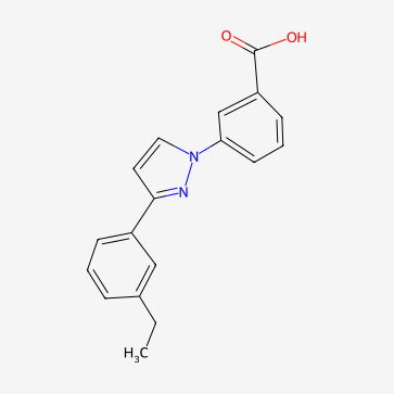 CCc1cccc(-c2ccn(-c3cccc(C(=O)O)c3)n2)c1